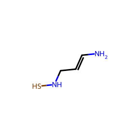 NC=CCNS